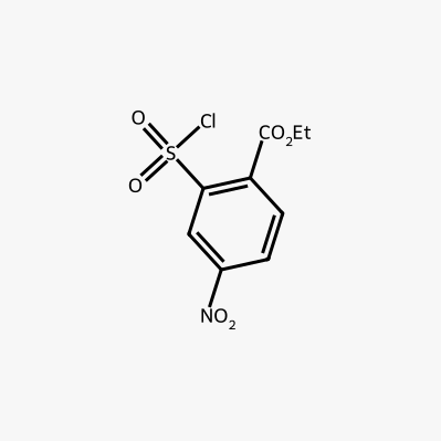 CCOC(=O)c1ccc([N+](=O)[O-])cc1S(=O)(=O)Cl